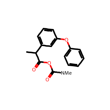 CNC(=O)OC(=O)C(C)c1cccc(Oc2ccccc2)c1